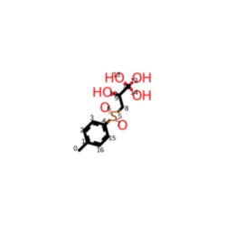 Cc1ccc(S(=O)(=O)CC(O)C(O)(O)O)cc1